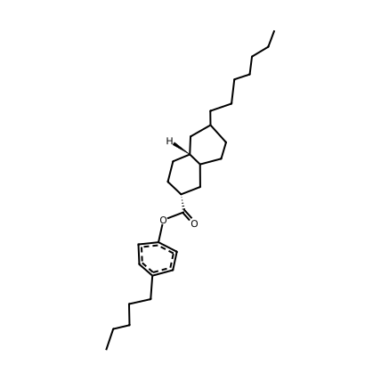 CCCCCCCC1CCC2C[C@H](C(=O)Oc3ccc(CCCCC)cc3)CC[C@@H]2C1